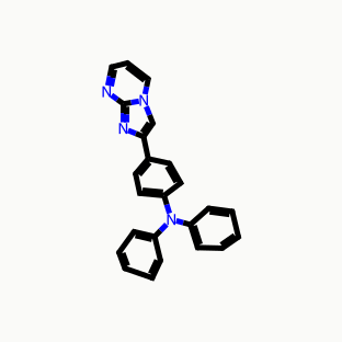 c1ccc(N(c2ccccc2)c2ccc(-c3cn4cccnc4n3)cc2)cc1